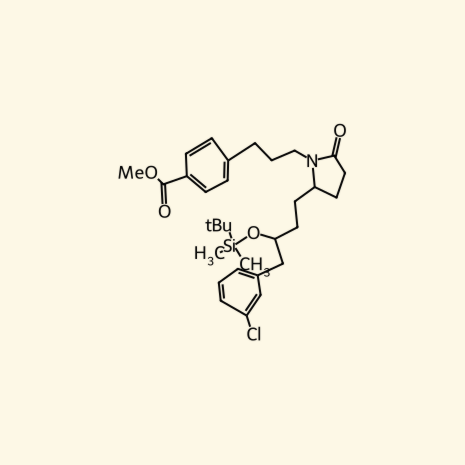 COC(=O)c1ccc(CCCN2C(=O)CCC2CCC(Cc2cccc(Cl)c2)O[Si](C)(C)C(C)(C)C)cc1